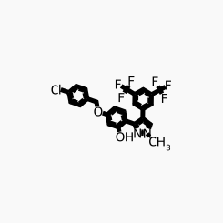 Cn1cc(-c2cc(C(F)(F)F)cc(C(F)(F)F)c2)c(-c2ccc(OCc3ccc(Cl)cc3)cc2O)n1